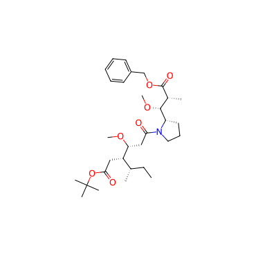 CC[C@H](C)[C@H](CC(=O)OC(C)(C)C)[C@@H](CC(=O)N1CCC[C@H]1[C@H](OC)[C@@H](C)C(=O)OCc1ccccc1)OC